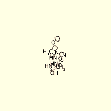 Cc1cc(Oc2ccccc2)ccc1N1C(=O)Nc2c(C(=O)N[C@@]3(C)CNC[C@H](O)C3)sc3nccc1c23